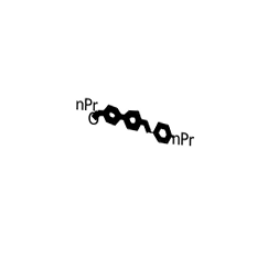 CCCC(=O)c1ccc(-c2ccc(CC[C@H]3CC[C@H](CCC)CC3)cc2)cc1